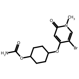 Cn1cc(Br)c(OC2CCC(OC(N)=O)CC2)cc1=O